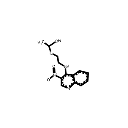 CC(O)OCCNc1c([N+](=O)[O-])cnc2ccccc12